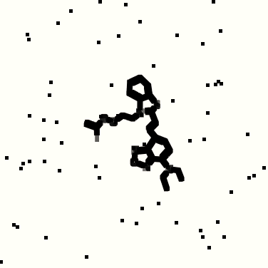 C=C(I)OOCC[n+]1c(/C=C/c2ccc(N(CC)CC)c3nonc23)sc2ccccc21